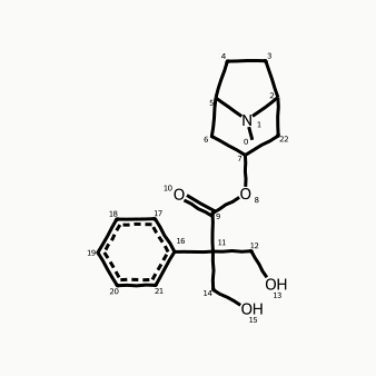 CN1C2CCC1CC(OC(=O)C(CO)(CO)c1ccccc1)C2